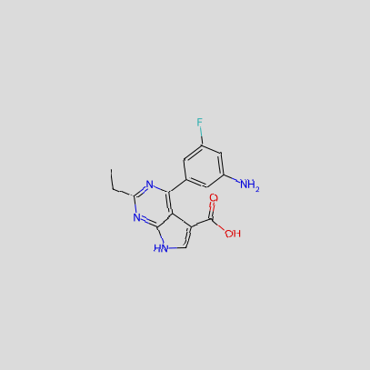 CCc1nc(-c2cc(N)cc(F)c2)c2c(C(=O)O)c[nH]c2n1